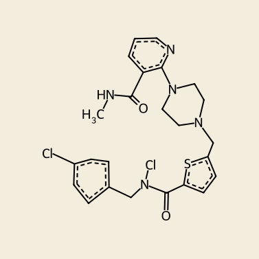 CNC(=O)c1cccnc1N1CCN(Cc2ccc(C(=O)N(Cl)Cc3ccc(Cl)cc3)s2)CC1